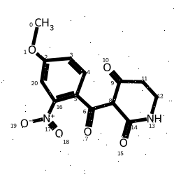 COc1ccc(C(=O)C2C(=O)CCNC2=O)c([N+](=O)[O-])c1